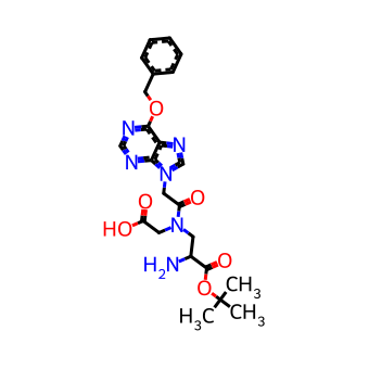 CC(C)(C)OC(=O)C(N)CN(CC(=O)O)C(=O)Cn1cnc2c(OCc3ccccc3)ncnc21